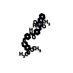 COc1cc2c(cc1OC)CN(Cc1ccc(NC(=O)c3ccc(/C=c4\[nH]c(=O)/c(=C/c5ccccc5)n(C)c4=O)cc3)cc1)CC2